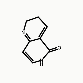 O=c1[nH]ccc2c1=CCCN=2